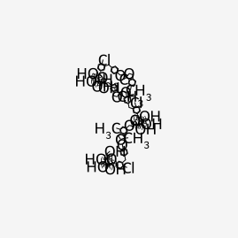 Cc1ccc2c(c1)C(C)(COc1ccc(Cc3cc([C@@H]4O[C@H](C(O)Cc5ccc6c(c5)COC6(C)COc5ccc(Cc6cc([C@@H]7O[C@H](COc8cc(C)c9c(c8)C(C)(COc8ccc(Cc%10cc([C@@H]%11O[C@H](CO)[C@@H](O)[C@H](O)[C@H]%11O)ccc%10Cl)cc8)OC9)[C@@H](O)[C@H](O)[C@H]7O)ccc6Cl)cc5)[C@@H](O)[C@H](O)[C@H]4O)ccc3Cl)cc1)OC2